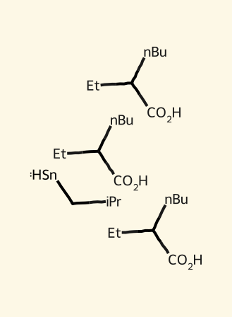 CC(C)[CH2][SnH].CCCCC(CC)C(=O)O.CCCCC(CC)C(=O)O.CCCCC(CC)C(=O)O